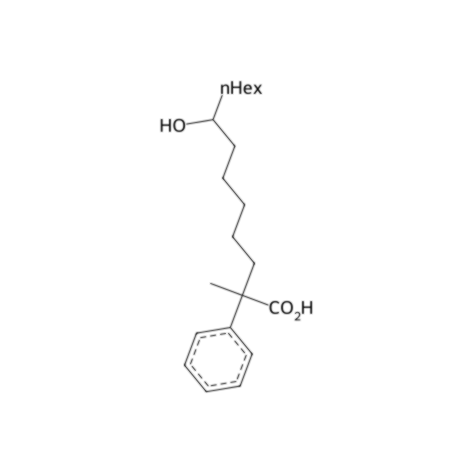 CCCCCCC(O)CCCCCC(C)(C(=O)O)c1ccccc1